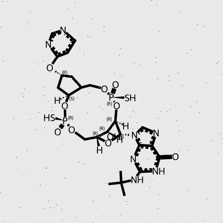 CC(C)(C)Nc1nc2c(ncn2[C@@H]2O[C@@H]3CO[P@@](=O)(S)O[C@H]4C[C@H](Oc5ccncn5)CC4CO[P@@](=O)(S)O[C@@H]2[C@@H]3O)c(=O)[nH]1